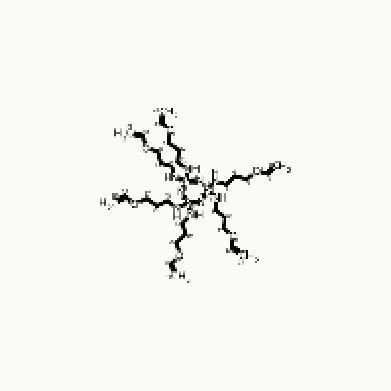 C=COCCCNP1(NCCCOC=C)=NP(NCCCOC=C)(NCCCOC=C)=NP(NCCCOC=C)(NCCCOC=C)=N1